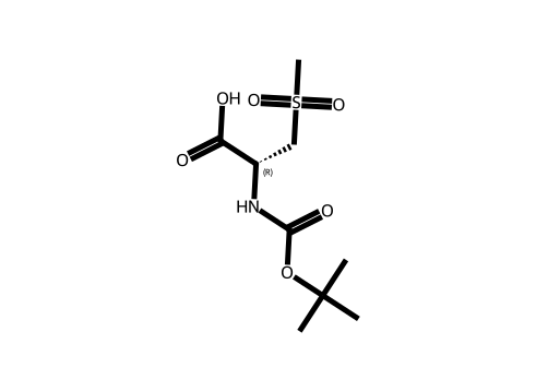 CC(C)(C)OC(=O)N[C@@H](CS(C)(=O)=O)C(=O)O